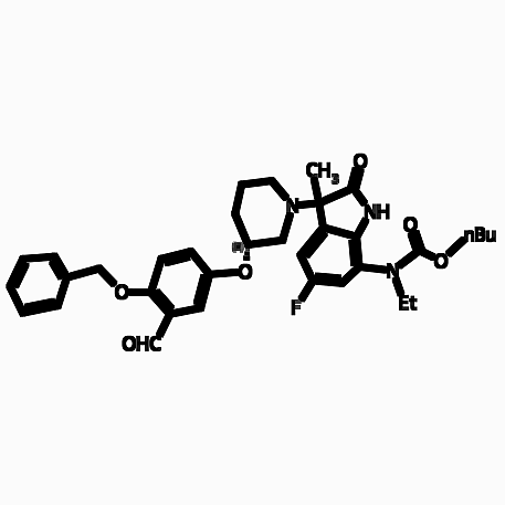 CCCCOC(=O)N(CC)c1cc(F)cc2c1NC(=O)C2(C)N1CCC[C@@H](Oc2ccc(OCc3ccccc3)c(C=O)c2)C1